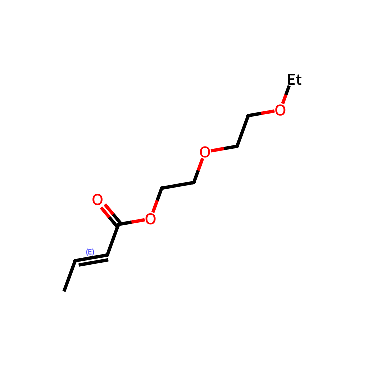 C/C=C/C(=O)OCCOCCOCC